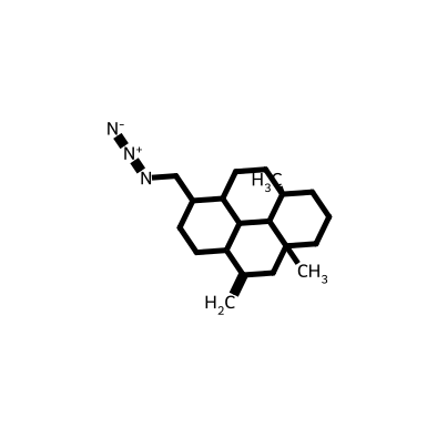 C=C1CC2(C)CCCC3(C)CCC4C(CN=[N+]=[N-])CCC1C4C32